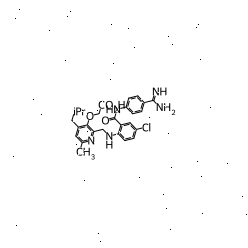 Cc1cc(CC(C)C)c(OCC(=O)O)c(CNc2ccc(Cl)cc2C(=O)Nc2ccc(C(=N)N)cc2)n1